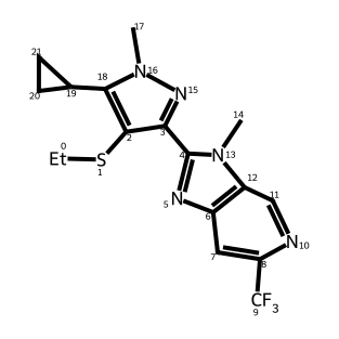 CCSc1c(-c2nc3cc(C(F)(F)F)ncc3n2C)nn(C)c1C1CC1